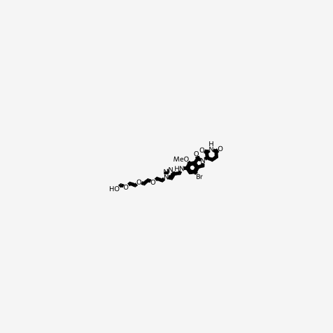 COc1c(NCc2cn(CCOCCOCCOCO)nn2)cc(Br)c2c1C(=O)N(C1CCC(=O)NC1=O)C2